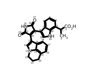 CC(C(=O)O)c1cccc2c(C3=C(c4cn5c6c(cccc46)CCC5)C(=O)NC3=O)c[nH]c12